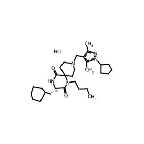 CCCCN1C(=O)[C@H](CC2CCCCC2)NC(=O)C12CCN(Cc1c(C)nn(C3CCCC3)c1C)CC2.Cl